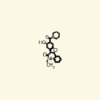 CCNC(=O)c1c(-c2ccccc2)oc2cc(C(=O)N3CCCCC3)c(O)cc12